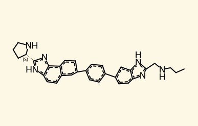 CCCNCc1nc2ccc(-c3ccc(-c4ccc5c(ccc6[nH]c([C@@H]7CCCN7)nc65)c4)cc3)cc2[nH]1